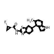 Cc1ccc2[nH]ccc2c1-c1ccc2nc(NC(=O)[C@@H]3C[C@@H]3F)sc2c1